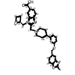 Cc1nc2cc(COc3cccc(C4CCN(Cc5nc6ccc(C(=O)O)cc6n5C[C@@H]5CCO5)CC4)n3)ccc2o1